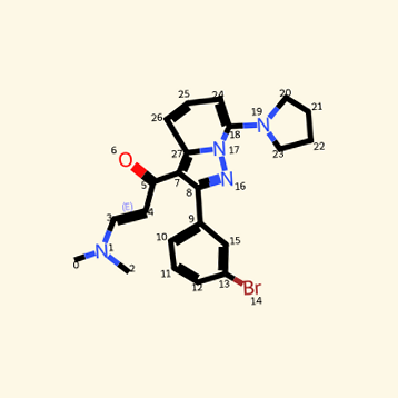 CN(C)/C=C/C(=O)c1c(-c2cccc(Br)c2)nn2c(N3CCCC3)cccc12